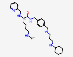 CC(C)NCCCC[C@H](NCc1ccccn1)C(=O)NCc1ccc(CNCCCNC2CCCCC2)cc1